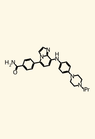 CC(C)N1CCN(c2ccc(Nc3ccc(-c4ccc(C(N)=O)cc4)n4ccnc34)cc2)CC1